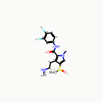 COS(=O)c1cn(C)c(C(=O)Nc2ccc(F)c(F)c2)c1CCNC(C)C